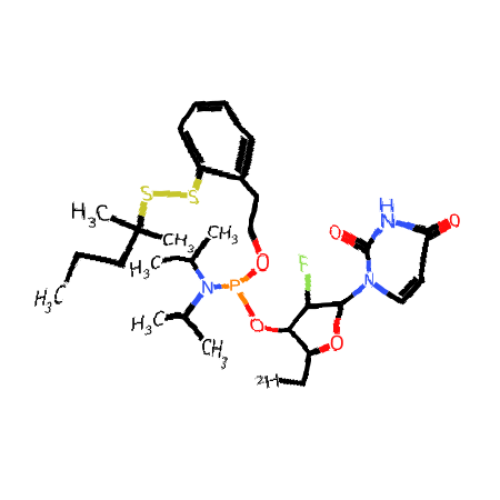 [2H]CC1OC(n2ccc(=O)[nH]c2=O)C(F)C1OP(OCCc1ccccc1SSC(C)(C)CCC)N(C(C)C)C(C)C